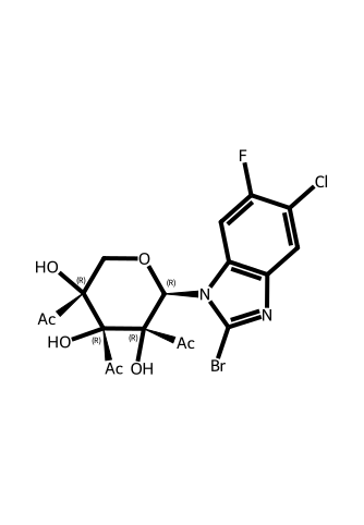 CC(=O)[C@@]1(O)[C@@](O)(C(C)=O)CO[C@@H](n2c(Br)nc3cc(Cl)c(F)cc32)[C@@]1(O)C(C)=O